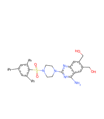 CC(C)c1cc(C(C)C)c(S(=O)(=O)N2CCN(c3nc(N)c4cc(CO)c(CO)cc4n3)CC2)c(C(C)C)c1